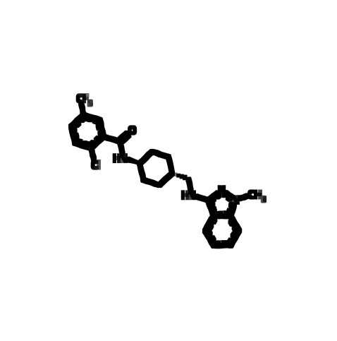 Cn1nc(NC[C@H]2CC[C@H](NC(=O)c3cc(C(F)(F)F)ccc3Cl)CC2)c2ccccc21